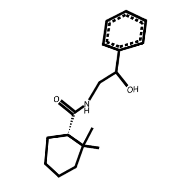 CC1(C)CCCC[C@@H]1C(=O)NCC(O)c1ccccc1